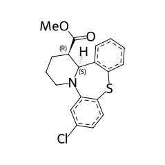 COC(=O)[C@@H]1CCCN2c3cc(Cl)ccc3Sc3ccccc3[C@H]12